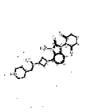 CN(CC1CCNCC1)C1CN(c2cccc3c2n(C)c(=O)n3N2C(=O)CCCC2=O)C1